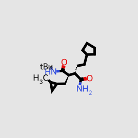 CC1CC1C[C@@H](C(=O)NC(C)(C)C)[C@H](CCC1CCCC1)C(N)=O